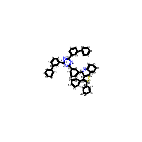 c1ccc(-c2cccc(-c3nc(-c4cccc(-c5ccccc5)c4)nc(-c4cccc(-c5nc6ccccc6c6sc(-c7ccccc7)c(-c7ccccc7)c56)c4)n3)c2)cc1